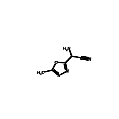 Cc1nnc(C(N)C#N)o1